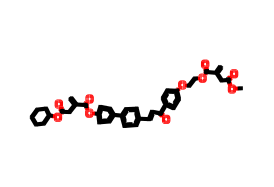 C=C(CC(=O)OC)C(=O)OCCOc1ccc(C(=O)/C=C/c2ccc(-c3ccc(OC(=O)C(=C)CC(=O)OC4CCCCC4)cc3)cc2)cc1